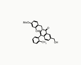 COc1ccc(Cn2cc(-c3ccccc3C)c3ccc(CO)cc3c2=O)c(OC)c1